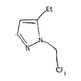 CCc1c[c]nn1CC(F)(F)F